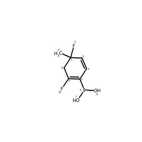 CC1(F)C=CC(B(O)O)=C(F)C1